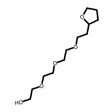 OCCOCCOCCOCCC1CCCO1